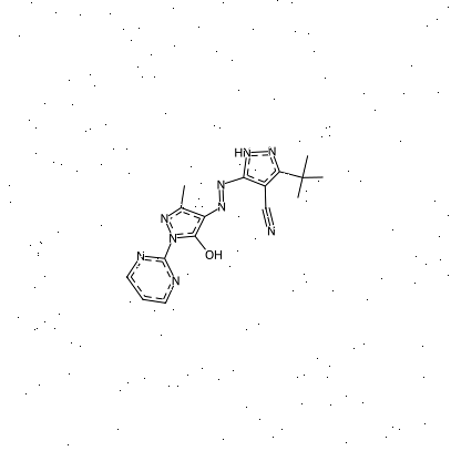 Cc1nn(-c2ncccn2)c(O)c1/N=N/c1[nH]nc(C(C)(C)C)c1C#N